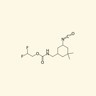 CC1(C)CC(CNC(=O)OCC(F)F)CC(N=C=O)C1